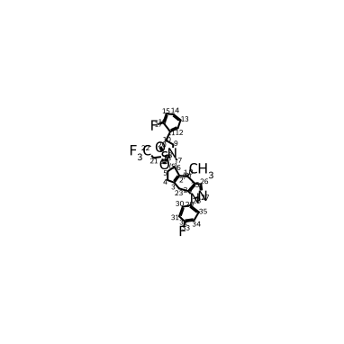 C[C@@H]1C2=C(CC[C@@H]2CN(CCc2ccccc2F)S(=O)(=O)CC(F)(F)F)Cc2c1cnn2-c1ccc(F)cc1